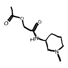 CC(=O)OCC(=O)NC1CCCN(C)C1